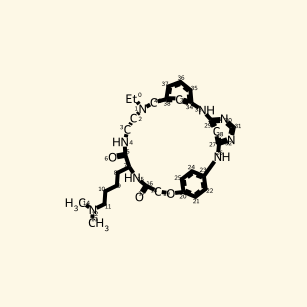 CCN1CCNC(=O)C(CCCCN(C)C)NC(=O)COc2ccc(cc2)Nc2cc(ncn2)Nc2cccc(c2)C1